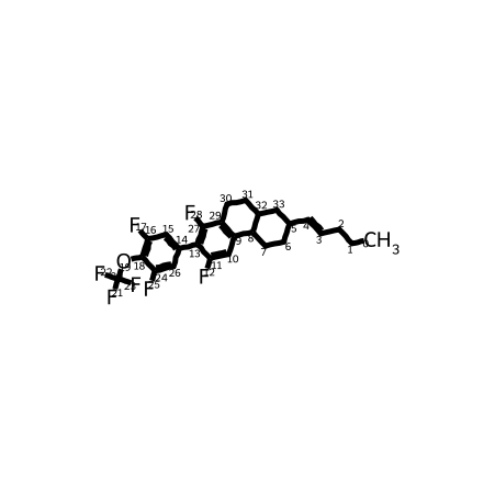 CCCC=CC1CCC2c3cc(F)c(-c4cc(F)c(OC(F)(F)F)c(F)c4)c(F)c3CCC2C1